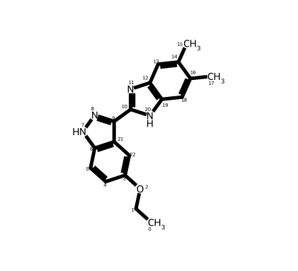 CCOc1ccc2[nH]nc(-c3nc4cc(C)c(C)cc4[nH]3)c2c1